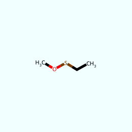 CCSOC